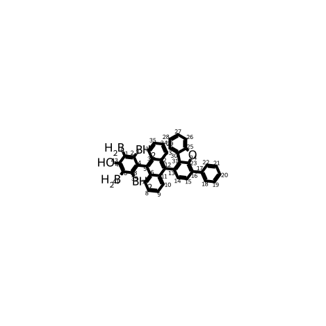 Bc1c(B)c(-c2c3ccccc3c(-c3ccc(-c4ccccc4)c4oc5ccccc5c34)c3ccccc23)c(B)c(B)c1O